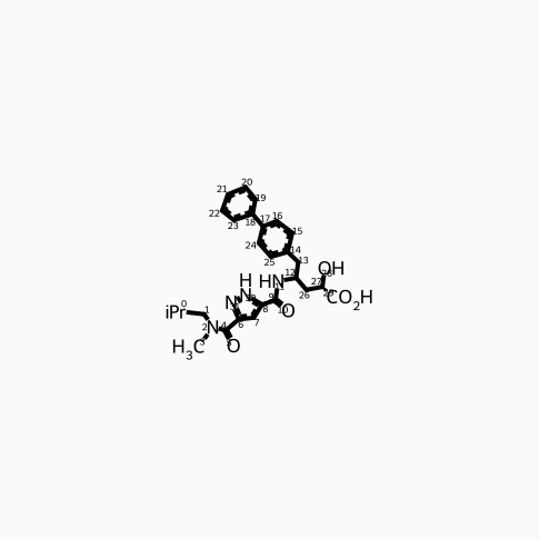 CC(C)CN(C)C(=O)c1cc(C(=O)NC(Cc2ccc(-c3ccccc3)cc2)C[C@@H](O)C(=O)O)[nH]n1